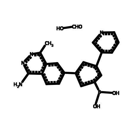 Cc1nnc(N)c2ccc(-c3cc(B(O)O)cc(-c4cccnc4)c3)cc12.O=CO